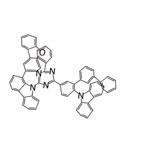 c1ccc(-c2cccc(-c3cc(-c4nc(-c5ccccc5)nc(-n5c6ccccc6c6cccc(-c7ccc8oc9ccccc9c8c7)c65)n4)ccc3-n3c4ccccc4c4ccccc43)c2)cc1